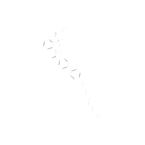 CCCCCCCCOc1ccc(-c2ccc(C(=O)Nc3ccccc3C(F)(F)P(=O)(O)OCC)cc2)cc1